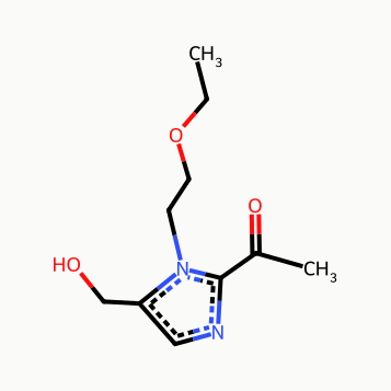 CCOCCn1c(CO)cnc1C(C)=O